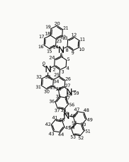 CN1C2=C(CCC(N(c3ccccc3)c3cccc4ccccc34)=C2)c2cc3c(c4cccc1c24)c1ccc(N(c2ccccc2)c2cccc4ccccc24)cc1n3C